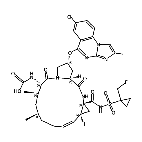 Cc1cn2c(n1)nc(O[C@@H]1C[C@H]3C(=O)N[C@]4(C(=O)NS(=O)(=O)C5(CF)CC5)C[C@H]4C=CCC[C@@H](C)C[C@@H](C)[C@H](NC(=O)O)C(=O)N3C1)c1cc(Cl)ccc12